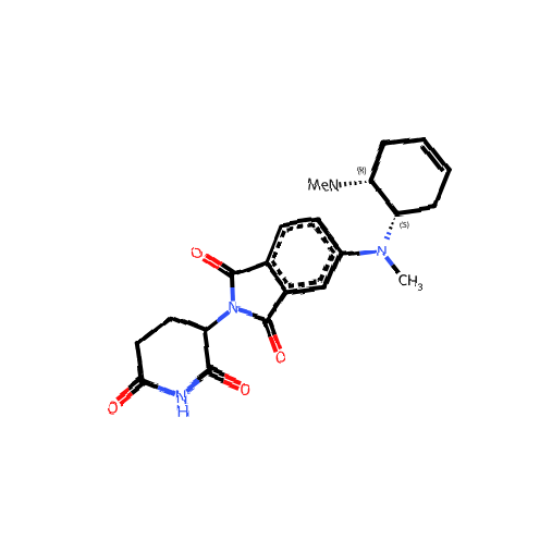 CN[C@@H]1CC=CC[C@@H]1N(C)c1ccc2c(c1)C(=O)N(C1CCC(=O)NC1=O)C2=O